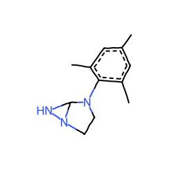 Cc1cc(C)c(N2CCN3NC32)c(C)c1